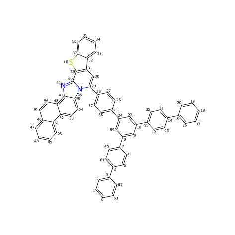 c1ccc(-c2ccc(-c3cc(-c4ccc(-c5ccccc5)cc4)cc(-c4ccc(-c5cc6c7ccccc7sc6c6nc7c8ccc9ccccc9c8ccc7n56)cc4)c3)cc2)cc1